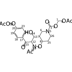 CC(=O)OCOC(=O)N1CCC(ON(C(C)=O)C(CO)C(=O)c2ccc(OOC(C)=O)cc2)CC1